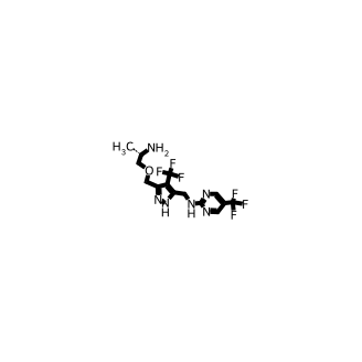 C[C@H](N)COCc1n[nH]c(CNc2ncc(C(F)(F)F)cn2)c1C(F)(F)F